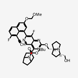 C#Cc1c(F)ccc2cc(OCOC)cc(-c3ncc4c(N5CC6CCC(C5)N6C(=O)OC(C)(C)C)nc(OC[C@]56CCCN5[C@H](CO)CC6)nc4c3F)c12